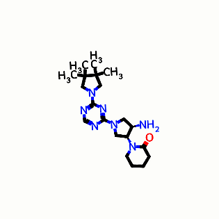 CC1(C)CN(c2ncnc(N3C[C@@H](N)[C@@H](N4CCCCC4=O)C3)n2)CC1(C)C